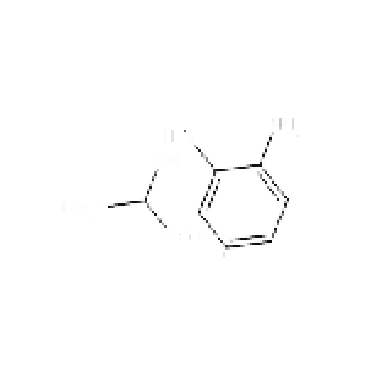 Nc1ccccc1N.O=C(O)C(O)C(=O)O